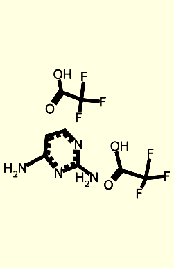 Nc1ccnc(N)n1.O=C(O)C(F)(F)F.O=C(O)C(F)(F)F